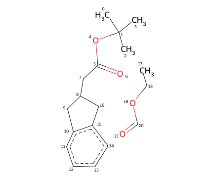 CC(C)(C)OC(=O)CC1Cc2ccccc2C1.CCOC=O